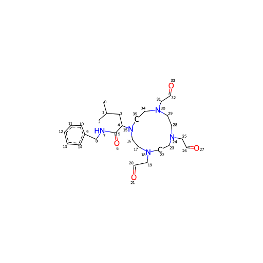 CC(C)CC(C(=O)NCc1ccccc1)N1CCN(CC=O)CCN(CC=O)CCN(CC=O)CC1